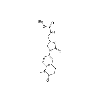 CN1C(=O)CCc2cc(N3CC(CNC(=O)OC(C)(C)C)OC3=O)ccc21